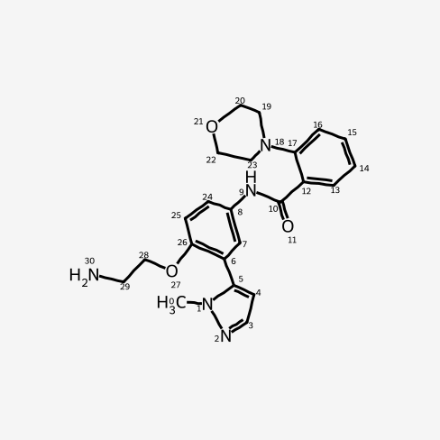 Cn1nccc1-c1cc(NC(=O)c2ccccc2N2CCOCC2)ccc1OCCN